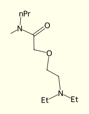 CCCN(C)C(=O)COCCN(CC)CC